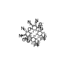 N#Cc1c(Oc2cc(-c3ccc(C(F)(F)F)cc3)c([N+](=O)[O-])c(C#N)c2C#N)cc(-c2ccc(C(F)(F)F)cc2)c([N+](=O)[O-])c1C#N